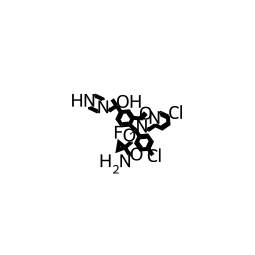 CC(O)(CN1CCNCC1)c1cc(F)c2c(c1)C(=O)N(Cc1ccc(Cl)cn1)[C@@]2(OCC1(C(N)=O)CC1)c1ccc(Cl)cc1